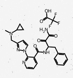 CN(Cc1ccn(-c2ncccc2C(=O)NC(Cc2ccccc2)C(=O)C(N)=O)n1)C1CC1.O=C(O)C(F)(F)F